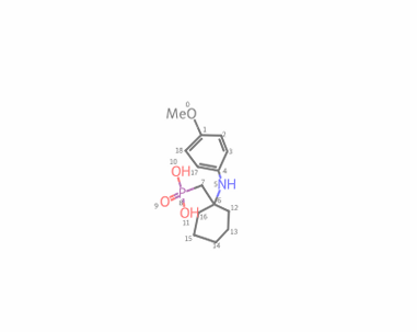 COc1ccc(NC2(CP(=O)(O)O)CCCCC2)cc1